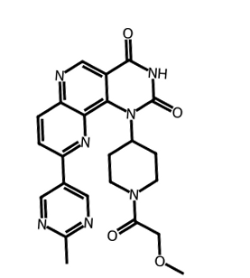 COCC(=O)N1CCC(n2c(=O)[nH]c(=O)c3cnc4ccc(-c5cnc(C)nc5)nc4c32)CC1